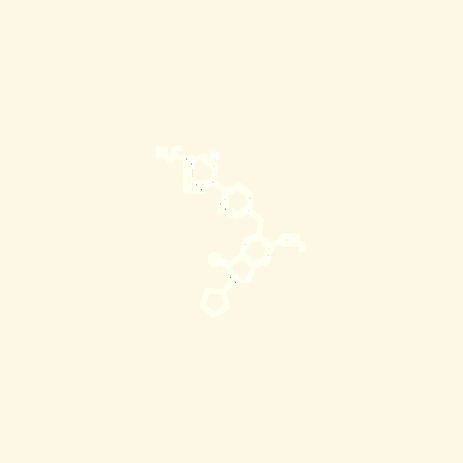 CN/C=C\C(=N)c1ccc(Cc2cc3c(cc2C)CN(C2CCCC2)C3=O)cn1